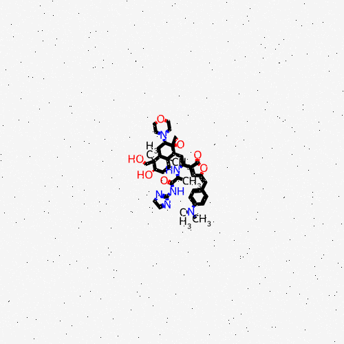 CC(NC(CC1C2(CO2)C(N2CCOCC2)CC2[C@]1(C)CC[C@@H](O)[C@@]2(C)CO)C1=C/C(=C\c2ccc(N(C)C)cc2)OC1=O)C(=O)NC1=NCC=N1